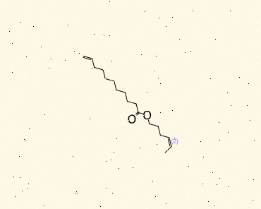 C=CCCCCCCCCC(=O)OCCC/C=C\C